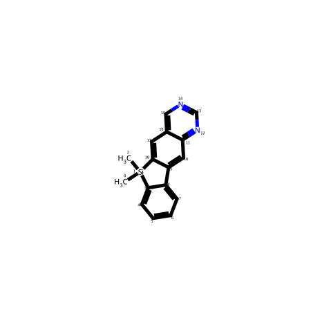 C[Si]1(C)c2ccccc2-c2cc3ncncc3cc21